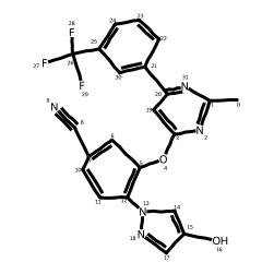 Cc1nc(Oc2cc(C#N)ccc2-n2cc(O)cn2)cc(-c2cccc(C(F)(F)F)c2)n1